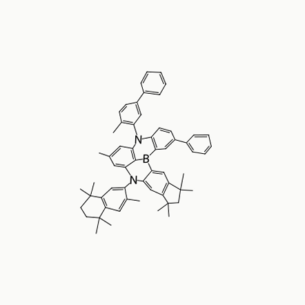 Cc1cc2c3c(c1)N(c1cc4c(cc1C)C(C)(C)CCC4(C)C)c1cc4c(cc1B3c1cc(-c3ccccc3)ccc1N2c1cc(-c2ccccc2)ccc1C)C(C)(C)CC4(C)C